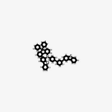 c1ccc(C2(c3ccccc3)c3ccccc3-c3c(N(c4ccc(-c5cccc(-c6ccc7sc8ccccc8c7c6)c5)cc4)c4cccc5c4oc4ccccc45)cccc32)cc1